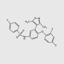 Cc1noc(C)c1-c1cc(NS(=O)(=O)c2ccc(F)cc2)ccc1Oc1ccc(F)cc1F